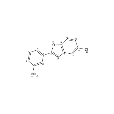 Nc1cccc(-c2nc3cc(Cl)ccc3o2)c1